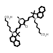 CN1CC(/C=C/C2=[N+](CCCCCC(=O)O)c3ccc4ccccc4c3C2(C)C)=C(Cl)C(=C/C=C2/N(CCCCCC(=O)O)c3ccc4ccccc4c3C2(C)C)/C1